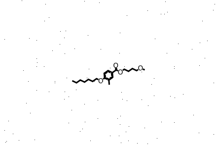 CCCCCCCOc1ccc(C(=O)OCCCCOC)cc1C